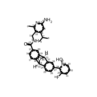 Cc1nc(N)cc(C(C)C)c1CNC(=O)c1ccc2c(c1)[C@@H]1O[C@H]2c2ccc(-c3c(F)ccc[n+]3O)cc21